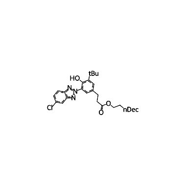 CCCCCCCCCCCCOC(=O)CCc1cc(-n2nc3ccc(Cl)cc3n2)c(O)c(C(C)(C)C)c1